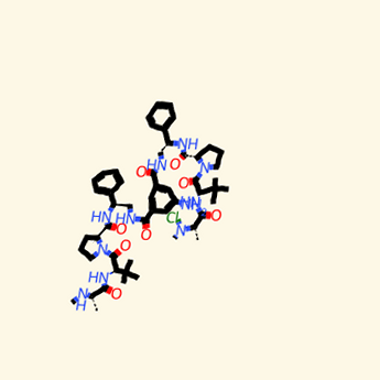 CN[C@@H](C)C(=O)N[C@H](C(=O)N1CCC[C@H]1C(=O)N[C@H](CNC(=O)c1cc(N)cc(C(=O)NC[C@@H](NC(=O)[C@@H]2CCCN2C(=O)[C@@H](NC(=O)[C@H](C)N(C)Cl)C(C)(C)C)c2ccccc2)c1)c1ccccc1)C(C)(C)C